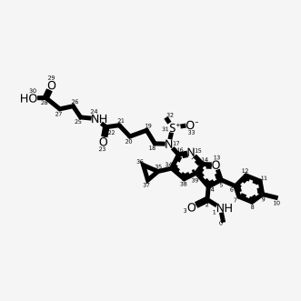 CNC(=O)c1c(-c2ccc(C)cc2)oc2nc(N(CCCCC(=O)NCCCC(=O)O)[S+](C)[O-])c(C3CC3)cc12